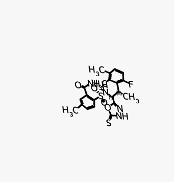 Cc1ccc(S(=O)(=O)N[C@H](c2n[nH]c(=S)o2)[C@H](C)c2c(F)ccc(C)c2C)c(C(N)=O)c1